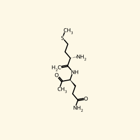 C=C(N[C@@H](CCC(N)=O)C(C)=O)[C@@H](N)CCSC